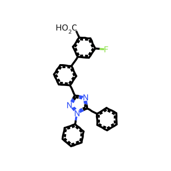 O=C(O)c1cc(F)cc(-c2cccc(-c3nc(-c4ccccc4)n(-c4ccccc4)n3)c2)c1